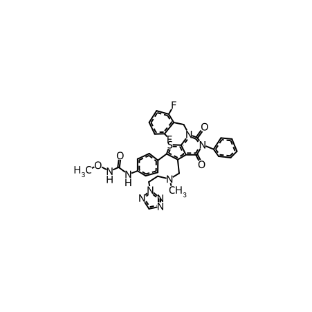 CONC(=O)Nc1ccc(-c2sc3c(c2CN(C)CCn2ncnn2)c(=O)n(-c2ccccc2)c(=O)n3Cc2c(F)cccc2F)cc1